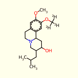 [2H]C([2H])([2H])Oc1cc2c(cc1OC)CCN1CC(CC(C)C)C(O)CC21